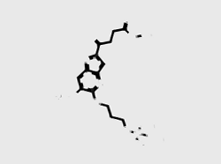 COc1cc2sc(C(=O)CCC(=O)OC(C)(C)C)cc2nc1OCCCO[Si](C)(C)C(C)(C)C